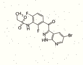 CCS(=O)(=O)Nc1c(F)ccc(C(=O)c2n[nH]c3ncc(Br)cc23)c1F